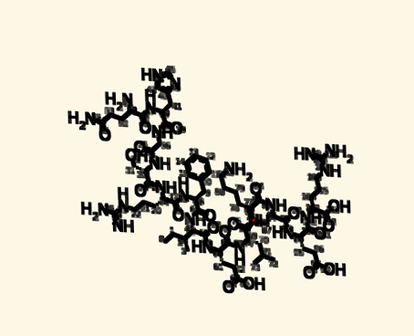 CC[C@H](C)[C@H](NC(=O)[C@H](Cc1ccccc1)NC(=O)[C@H](CCCNC(=N)N)NC(=O)[C@H](CO)NC(=O)CNC(=O)[C@H](Cc1c[nH]cn1)NC(=O)[C@@H](N)CCC(N)=O)C(=O)N[C@@H](CCC(=O)O)C(=O)N[C@@H](CC(C)C)C(=O)N[C@@H](CCCCN)C(=O)N[C@@H](CC(C)C)C(=O)N[C@@H](CCC(=O)O)C(=O)N[C@@H](CCCNC(=N)N)C(=O)O